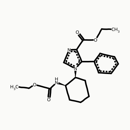 CCOC(=O)N[C@@H]1CCCC[C@@H]1n1cnc(C(=O)OCC)c1-c1ccccc1